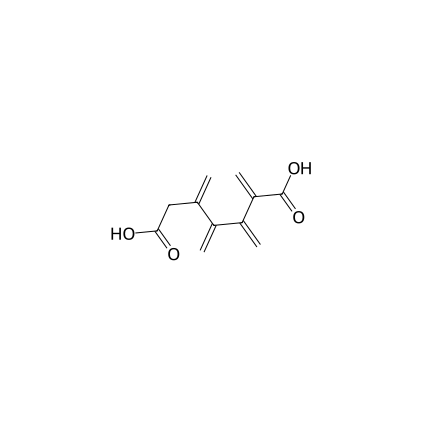 C=C(CC(=O)O)C(=C)C(=C)C(=C)C(=O)O